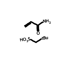 C=CC(N)=O.CC(C)(C)CS(=O)(=O)O